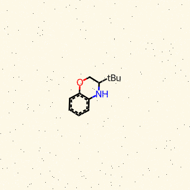 CC(C)(C)C1COc2ccccc2N1